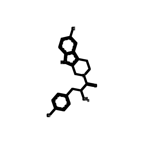 CC(Cc1ccc(Cl)cc1)C(=O)N1CCc2c([nH]c3ccc(Cl)cc23)C1